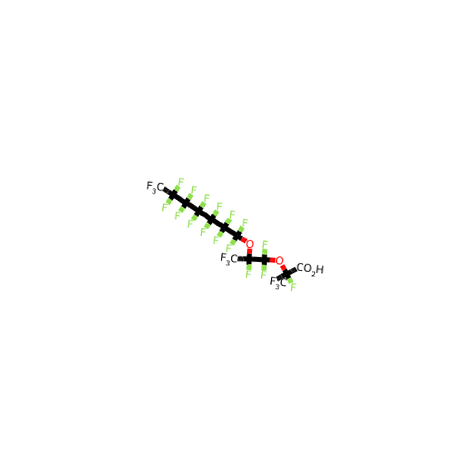 O=C(O)C(F)(OC(F)(F)C(F)(OC(F)(F)C(F)(F)C(F)(F)C(F)(F)C(F)(F)C(F)(F)C(F)(F)F)C(F)(F)F)C(F)(F)F